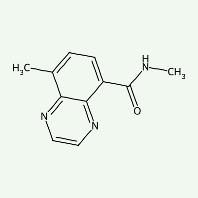 CNC(=O)c1ccc(C)c2nccnc12